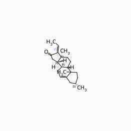 C/C=C1\C(=O)C[C@H]2[C@@H]3CC=C4C[C@@H](C)CCC4(C)[C@H]3CC[C@]12C